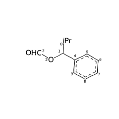 CC(C)C(OC=O)c1ccccc1